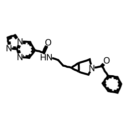 O=C(NCCC1C2CN(C(=O)c3ccccc3)CC12)c1cnc2nccn2c1